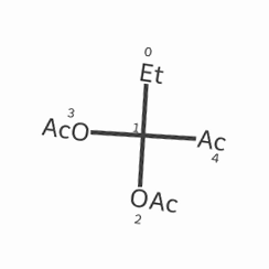 CCC(OC(C)=O)(OC(C)=O)C(C)=O